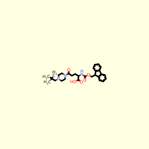 CC(C)(C)CN1CCN(C(=O)CCC(NC(=O)OCC2c3ccccc3-c3ccccc32)C(=O)O)CC1